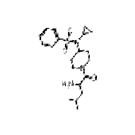 CC(C)CC(N)C(=O)N1CCC(N(C2CC2)S(=O)(=O)c2ccccc2)CC1